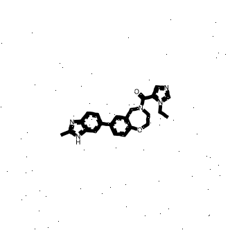 CCn1cncc1C(=O)N1CCOc2ccc(-c3ccc4nc(C)[nH]c4c3)cc2C1